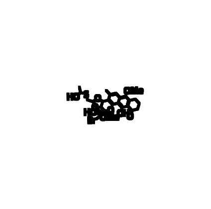 COc1c2c(c(O)c3c4c(c(C)cc13)C1OC3(CSC(C)O)OC1[C@@](OC)(O4)[C@@]3(O)CBr)C(=O)CCC2